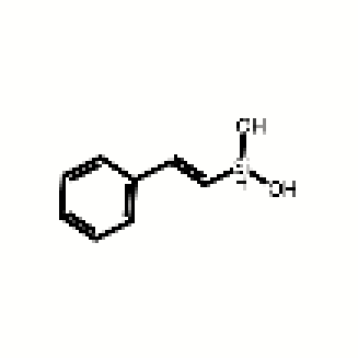 O[SiH](O)C=Cc1ccccc1